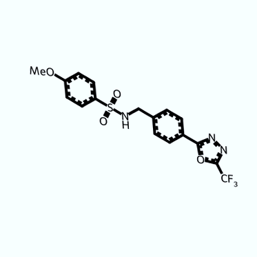 COc1ccc(S(=O)(=O)NCc2ccc(-c3nnc(C(F)(F)F)o3)cc2)cc1